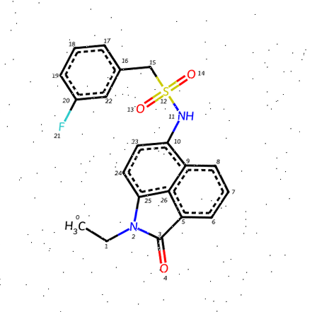 CCN1C(=O)c2cccc3c(NS(=O)(=O)Cc4cccc(F)c4)ccc1c23